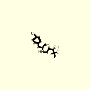 OC(C1CNC(Cc2ccc(Cl)cc2)CO1)C(F)(F)F